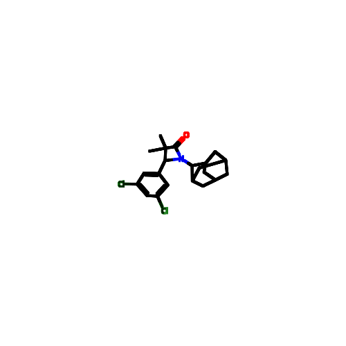 CC1(C)C(=O)N(C2C3CC4CC(C3)CC2C4)C1c1cc(Cl)cc(Cl)c1